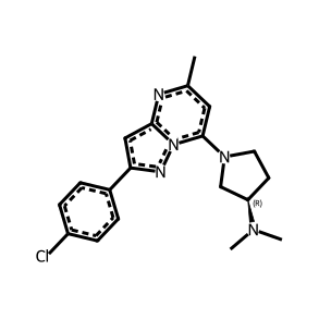 Cc1cc(N2CC[C@@H](N(C)C)C2)n2nc(-c3ccc(Cl)cc3)cc2n1